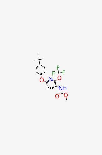 COC(=O)Nc1ccc(Oc2ccc(C(C)(C)C)cc2)nc1OC(F)(F)F